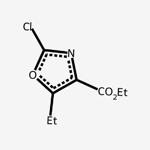 CCOC(=O)c1nc(Cl)oc1CC